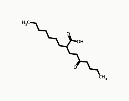 CCCCCCCC(CCC(=O)CCCC)C(=O)O